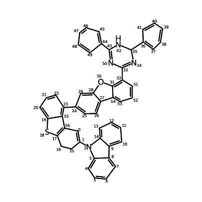 C1=C(n2c3ccccc3c3ccccc32)CCc2sc3cccc(-c4ccc5c(c4)oc4c(C6=NC(c7ccccc7)NC(c7ccccc7)=N6)cccc45)c3c21